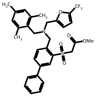 COC(=O)CS(=O)(=O)c1cc(-c2ccccc2)ccc1CN(Cc1ccc(C(F)(F)F)o1)Cc1c(C)cc(C)cc1C